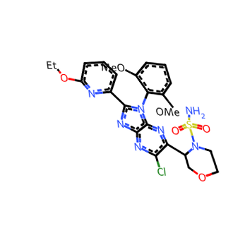 CCOc1cccc(-c2nc3nc(Cl)c(C4COCCN4S(N)(=O)=O)nc3n2-c2c(OC)cccc2OC)n1